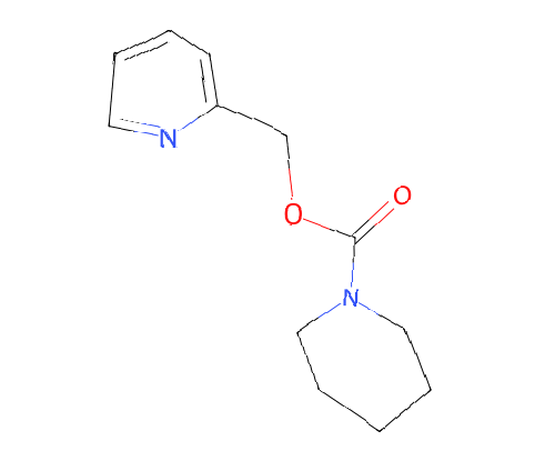 O=C(OCc1ccccn1)N1CCCCC1